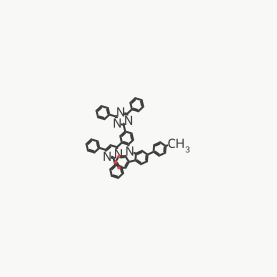 Cc1ccc(-c2ccc3c4ccccc4n(-c4ccc(-c5nc(-c6ccccc6)nc(-c6ccccc6)n5)cc4-c4cc(-c5ccccc5)nc(-c5ccccc5)n4)c3c2)cc1